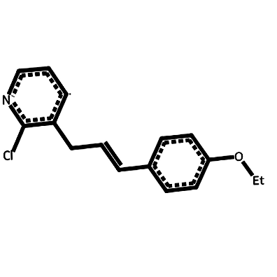 CCOc1ccc(C=CCc2[c]ccnc2Cl)cc1